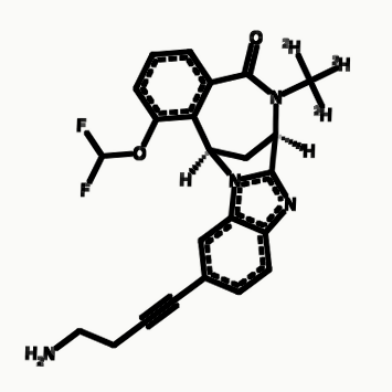 [2H]C([2H])([2H])N1C(=O)c2cccc(OC(F)F)c2[C@H]2C[C@@H]1c1nc3ccc(C#CCCN)cc3n12